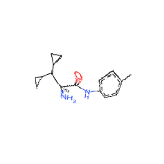 Cc1ccc(NC(=O)[C@@H](N)C(C2CC2)C2CC2)cc1